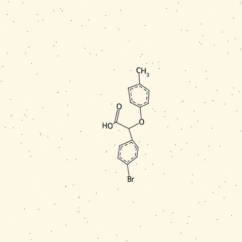 Cc1ccc(OC(C(=O)O)c2ccc(Br)cc2)cc1